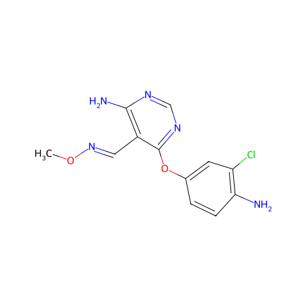 CO/N=C/c1c(N)ncnc1Oc1ccc(N)c(Cl)c1